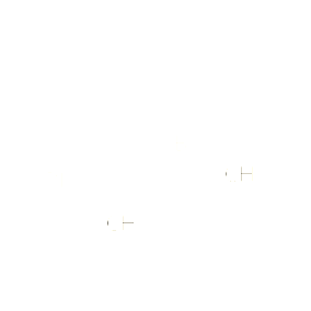 B.CB1CCCC1C